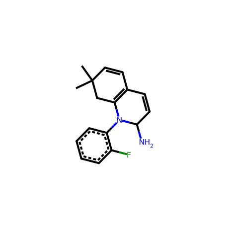 CC1(C)C=CC2=C(C1)N(c1ccccc1F)C(N)C=C2